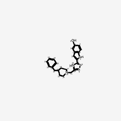 Oc1ccc2[nH]c(-c3nnc(CN4CCC(Cc5ccccc5)CC4)[nH]3)cc2c1